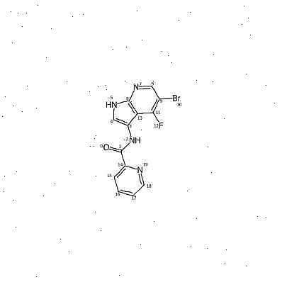 O=C(Nc1c[nH]c2ncc(Br)c(F)c12)c1ccccn1